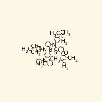 C=Cc1oc2ccc3c4c(sc3c2c1/C=C\C)B1c2cc3c(cc2N(c2ccc(C(C)(C)C)cc2)c2cccc(c21)N4c1ccc(C(C)(C)C)cc1)N(C1C=CC=CC1)C1(C)CCCCC31C